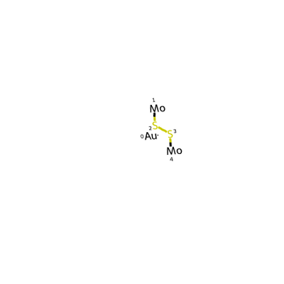 [Au].[Mo][S][S][Mo]